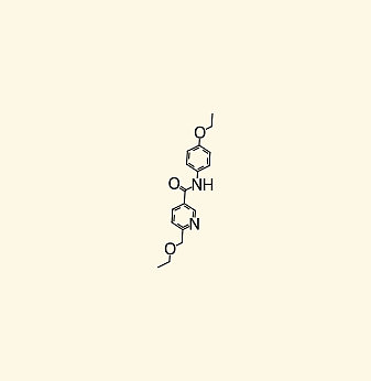 CCOCc1ccc(C(=O)Nc2ccc(OCC)cc2)cn1